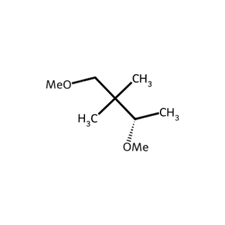 COCC(C)(C)[C@H](C)OC